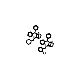 Clc1ccccc1C/N=C1\C2CCN(CC2)C1C(c1ccccc1)c1ccccc1.c1ccc(C(c2ccccc2)C2/C(=N/CC3CCCCC3)C3CCN2CC3)cc1